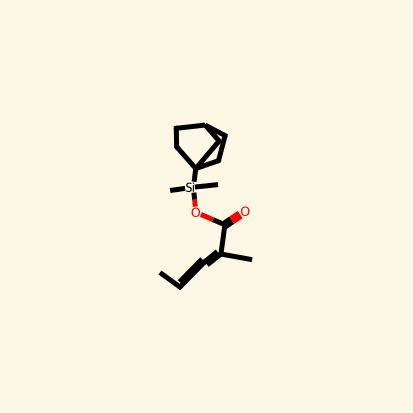 CC=C=C(C)C(=O)O[Si](C)(C)C12CCC(CC1)C2